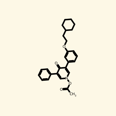 CC(=O)On1cc(-c2ccccc2)c(=O)c(-c2cccc(OCCC3CCCCC3)c2)c1